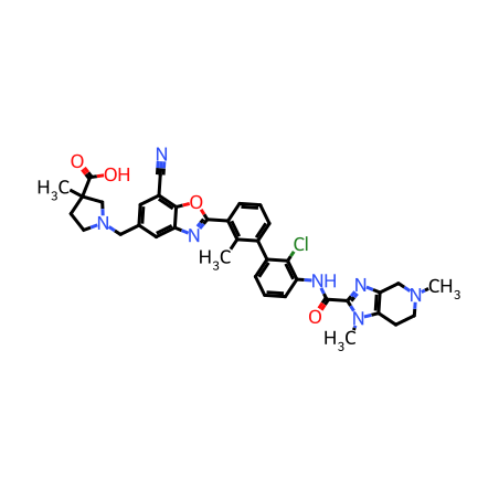 Cc1c(-c2nc3cc(CN4CCC(C)(C(=O)O)C4)cc(C#N)c3o2)cccc1-c1cccc(NC(=O)c2nc3c(n2C)CCN(C)C3)c1Cl